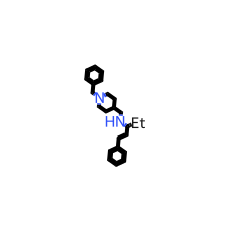 CCC(/C=C/c1ccccc1)NCC1CCN(Cc2ccccc2)CC1